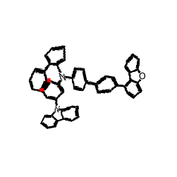 c1ccc(-c2ccccc2N(c2ccc(-c3ccc(-c4cccc5oc6ccccc6c45)cc3)cc2)c2cccc(-n3c4ccccc4c4ccccc43)c2)cc1